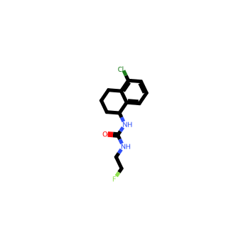 O=C(NCCF)NC1CCCc2c(Cl)cccc21